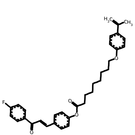 C=C(C)c1ccc(OCCCCCCCCC(=O)Oc2ccc(C=CC(=O)c3ccc(F)cc3)cc2)cc1